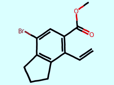 C=Cc1c(C(=O)OC)cc(Br)c2c1CCC2